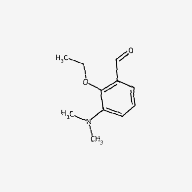 CCOc1c(C=O)cccc1N(C)C